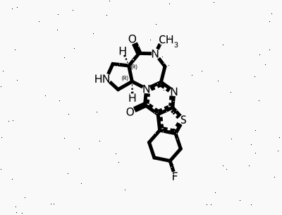 CN1Cc2nc3sc4c(c3c(=O)n2[C@H]2CNC[C@H]2C1=O)CCC(F)C4